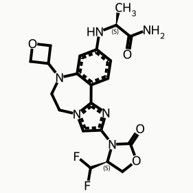 C[C@H](Nc1ccc2c(c1)N(C1COC1)CCn1cc(N3C(=O)OC[C@H]3C(F)F)nc1-2)C(N)=O